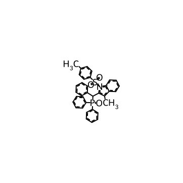 Cc1ccc(S(=O)(=O)n2c(C(c3ccccc3)P(=O)(c3ccccc3)c3ccccc3)c(C)c3ccccc32)cc1